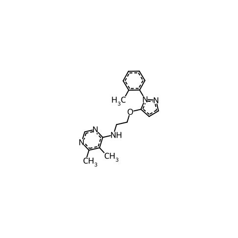 Cc1ccccc1-n1nccc1OCCNc1ncnc(C)c1C